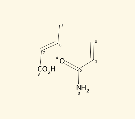 C=CC(N)=O.CC=CC(=O)O